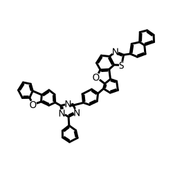 c1ccc(-c2nc(-c3ccc(-c4cccc5c4oc4ccc6nc(-c7ccc8ccccc8c7)sc6c45)cc3)nc(-c3ccc4c(c3)oc3ccccc34)n2)cc1